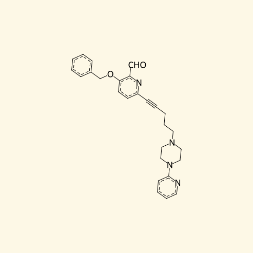 O=Cc1nc(C#CCCCN2CCN(c3ccccn3)CC2)ccc1OCc1ccccc1